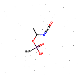 COP(=O)(O)OC(C)N=C=O